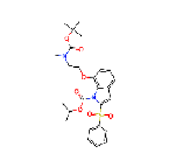 CC(C)OC(=O)n1c(S(=O)(=O)c2ccccc2)cc2cccc(OCCN(C)C(=O)OC(C)(C)C)c21